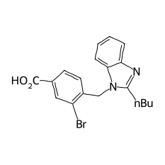 CCCCc1nc2ccccc2n1Cc1ccc(C(=O)O)cc1Br